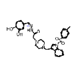 Cc1ccc(S(=O)(=O)n2cc(CN3CCN(CC(=O)N/N=C\c4ccc(O)c(O)c4)CC3)c3ccccc32)cc1